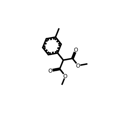 COC(=O)C(C(=O)OC)c1cccc(C)c1